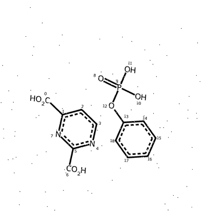 O=C(O)c1ccnc(C(=O)O)n1.O=P(O)(O)Oc1ccccc1